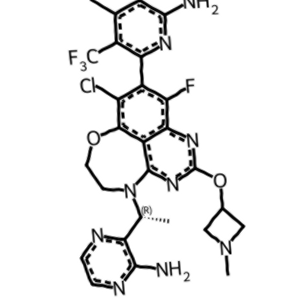 Cc1cc(N)nc(-c2c(Cl)c3c4c(nc(OC5CN(C)C5)nc4c2F)N([C@H](C)c2nccnc2N)CCO3)c1C(F)(F)F